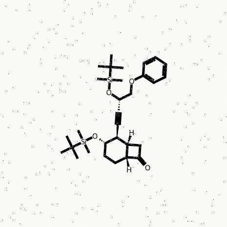 CC(C)(C)[Si](C)(C)O[C@H]1CC[C@H]2C(=O)C[C@H]2[C@@H]1C#C[C@@H](COc1ccccc1)O[Si](C)(C)C(C)(C)C